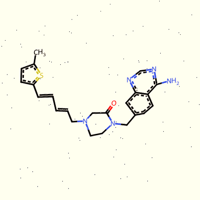 Cc1ccc(C=CC=CCN2CCN(Cc3ccc4c(N)ncnc4c3)C(=O)C2)s1